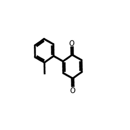 Cc1ccccc1C1=CC(=O)C=CC1=O